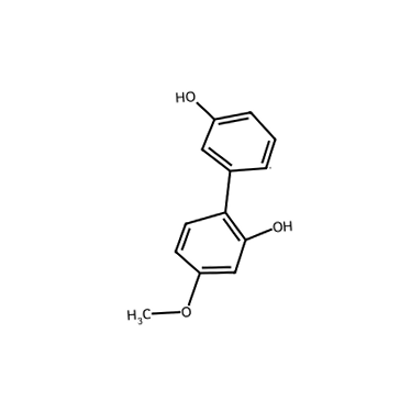 COc1ccc(-c2[c]ccc(O)c2)c(O)c1